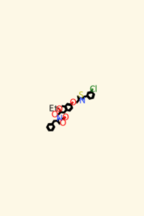 CCOC(Cc1ccc(OCc2csc(-c3cccc(Cl)c3)n2)cc1C)C(=O)N1C(=O)OCC1Cc1ccccc1